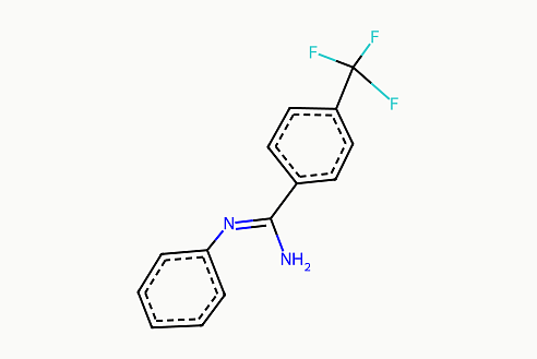 NC(=Nc1ccccc1)c1ccc(C(F)(F)F)cc1